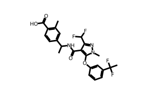 Cc1cc(C(C)NC(=O)c2c(C(F)F)nn(C)c2Oc2cccc(C(C)(F)F)c2)ccc1C(=O)O